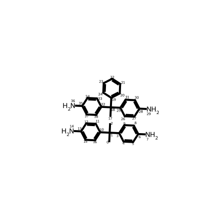 CC(C)(c1ccc(N)cc1)c1ccc(N)cc1.CC(c1ccccc1)(c1ccc(N)cc1)c1ccc(N)cc1